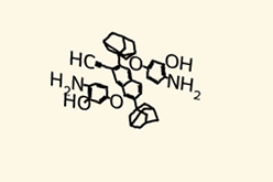 C#Cc1cc2c(Oc3ccc(N)c(O)c3)c(C34CC5CC(CC(C5)C3)C4)ccc2c(Oc2ccc(N)c(O)c2)c1C12CC3CC(CC(C3)C1)C2